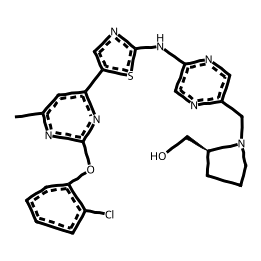 Cc1cc(-c2cnc(Nc3cnc(CN4CCC[C@H]4CO)cn3)s2)nc(Oc2ccccc2Cl)n1